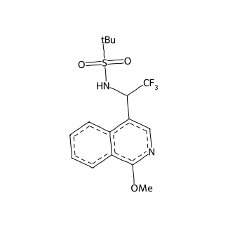 COc1ncc(C(NS(=O)(=O)C(C)(C)C)C(F)(F)F)c2ccccc12